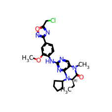 CC[C@@H]1C(=O)N(C)c2cnc(Nc3ccc(-c4noc(CCl)n4)cc3OC)nc2N1C1CCCC1